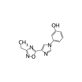 CCc1noc(-c2cn(-c3cccc(O)c3)cn2)n1